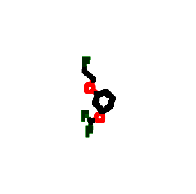 FCCOc1cccc(OC(F)F)c1